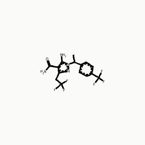 CC(c1ccc(C(F)(F)F)cc1)n1nc(CC(F)(F)F)c(C(N)=O)c1N